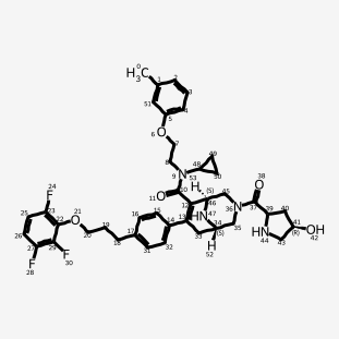 Cc1cccc(OCCN(C(=O)C2=C(c3ccc(CCCOc4c(F)ccc(F)c4F)cc3)C[C@H]3CN(C(=O)C4C[C@@H](O)CN4)C[C@H]2N3)C2CC2)c1